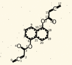 C=C=CC(=O)Oc1cccc2c(OC(=O)C=C=C)cccc12